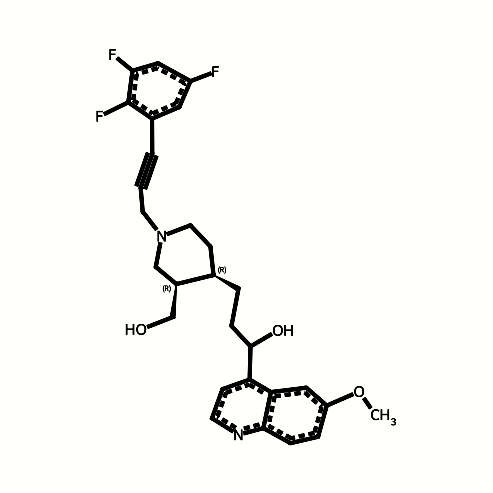 COc1ccc2nccc(C(O)CC[C@@H]3CCN(CC#Cc4cc(F)cc(F)c4F)C[C@@H]3CO)c2c1